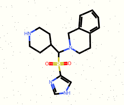 O=S(=O)(c1c[nH]cn1)C(C1CCNCC1)N1CCc2ccccc2C1